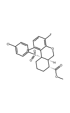 COC(=O)[C@@H]1CCC[C@@]2(S(=O)(=O)c3ccc(Cl)cc3)c3c(F)ccc(F)c3OC[C@@H]12